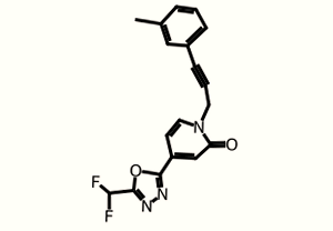 Cc1cccc(C#CCn2ccc(-c3nnc(C(F)F)o3)cc2=O)c1